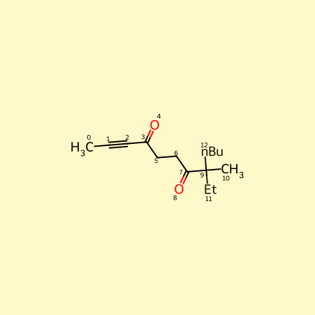 CC#CC(=O)CCC(=O)C(C)(CC)CCCC